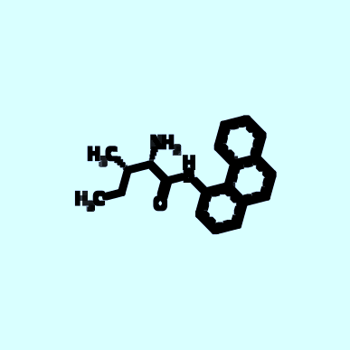 CC[C@H](C)[C@H](N)C(=O)Bc1cccc2ccc3ccccc3c12